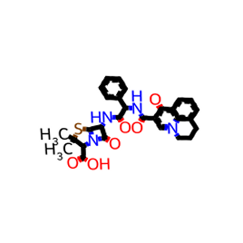 CC1(C)SC2C(NC(=O)C(NC(=O)c3cn4c5c(cccc5c3=O)CCC4)c3ccccc3)C(=O)N2C1C(=O)O